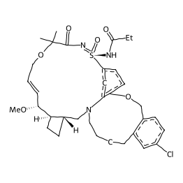 CCC(=O)N[S@]1(=O)=NC(=O)C(C)(C)OC/C=C/[C@@H](OC)[C@@H]2CC[C@H]2CN2CCCCc3cc(Cl)ccc3COc3ccc1cc32